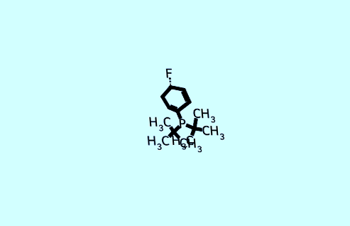 CC(C)(C)P(C1=CC[C@H](F)C=C1)C(C)(C)C